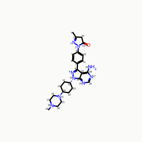 CC1=NN(c2ccc(-c3nn([C@H]4CC[C@H](N5CCN(C)CC5)CC4)c4ncnc(N)c34)cc2)C(=O)C1